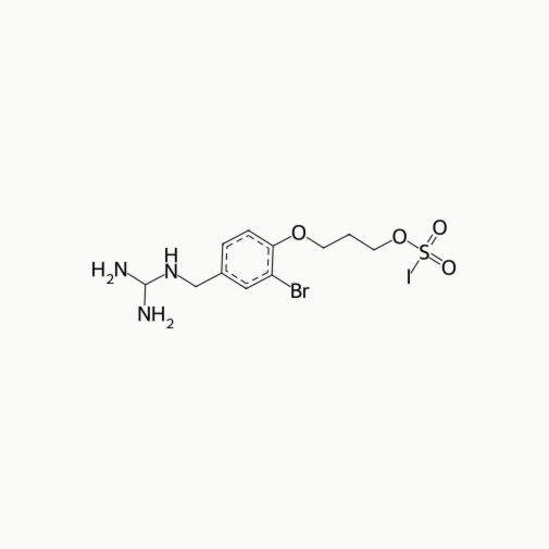 NC(N)NCc1ccc(OCCCOS(=O)(=O)I)c(Br)c1